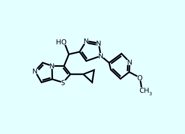 COc1ccc(-n2cc(C(O)c3c(C4CC4)sc4cncn34)nn2)cn1